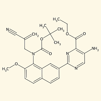 C=C(C#N)CN(C(=O)OC(C)(C)C)c1c(OC)ccc2ccc(-c3ncc(N)c(C(=O)OCC)n3)cc12